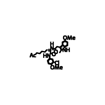 COc1ccc2[nH]c(C)c(CC(=O)N[C@@H](CCCCCC(C)=O)C(=O)Nc3ccc(OC)c(Cl)c3)c2c1